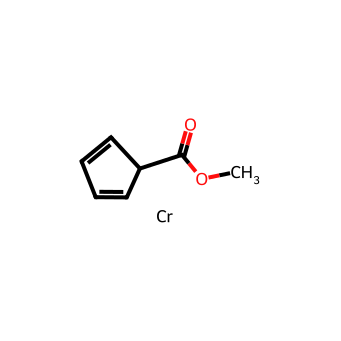 COC(=O)C1C=CC=C1.[Cr]